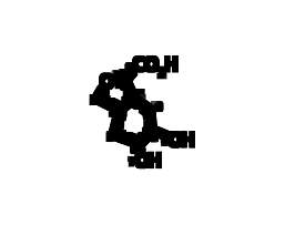 O=C(O)c1occ2cc(O)c(O)cc12